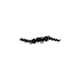 CCCCCCCCOc1ccc(C(=O)Oc2ccc(-c3ccc(SCCCCCCCC)cc3)cc2)cc1